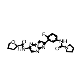 O=C(Nc1cnc2nc(-c3cc(NC(=O)N4CCCC4)ccc3F)cn2n1)C1CCCO1